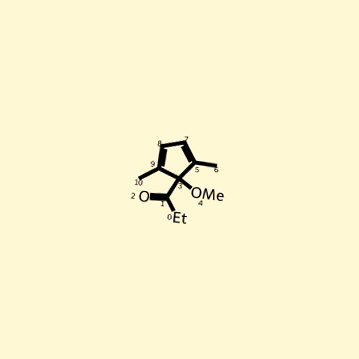 CCC(=O)C1(OC)C(C)=CC=C1C